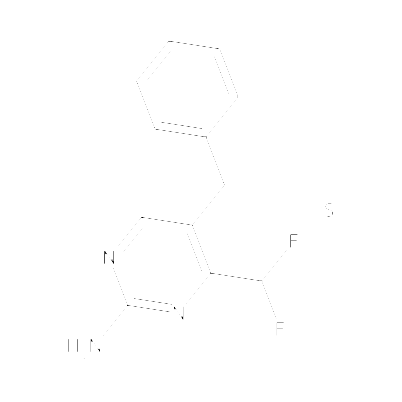 Nc1ncc(Cc2ccccc2)c(C(F)F)n1.[S]